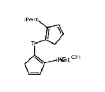 CCCC(C)C1=[C]([Ti][C]2=C(C(C)CCC)C=CC2)CC=C1.Cl.Cl